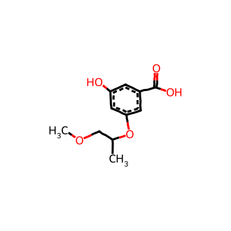 COCC(C)Oc1cc(O)cc(C(=O)O)c1